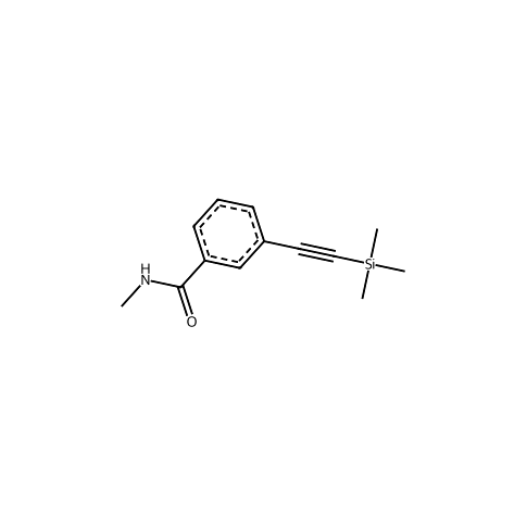 CNC(=O)c1cccc(C#C[Si](C)(C)C)c1